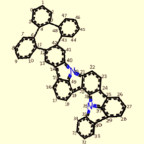 c1ccc2c(c1)-c1ccccc1-c1cc3c4cccc5c6c(ccc7c8cccc9c%10ccccc%10n(c98)c76)n(c3cc1-c1ccccc1-2)c45